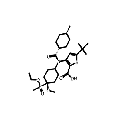 CCOP(C)(=O)C1(OC)CCC(N(c2cc(C(C)(C)C)sc2C(=O)O)C(=O)[C@H]2CC[C@H](C)CC2)CC1